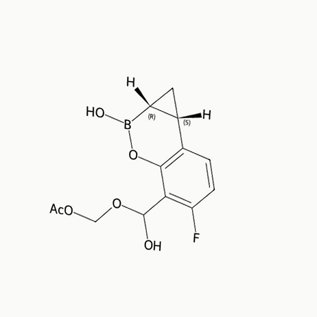 CC(=O)OCOC(O)c1c(F)ccc2c1OB(O)[C@@H]1C[C@H]21